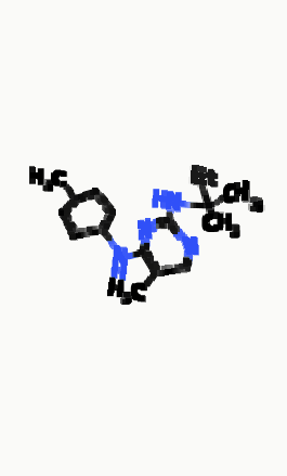 CCC(C)(C)Nc1ncc(C)c(Nc2ccc(C)cc2)n1